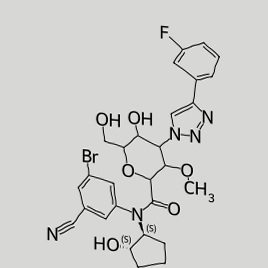 COC1C(C(=O)N(c2cc(Br)cc(C#N)c2)[C@H]2CCC[C@@H]2O)OC(CO)C(O)C1n1cc(-c2cccc(F)c2)nn1